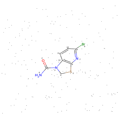 NC(=O)N1[CH]Sc2nc(Br)ccc21